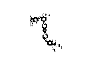 CC1(C)COc2cc(CN3CCN(C4CC5(CCN(c6ccc(C=O)c(Oc7cnc8[nH]cc(F)c8c7)c6)CC5)C4)CC3)ccc21